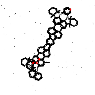 Cc1cc2c(cc1-c1ccc3c4cc5c(cc4c4ccc(-c6cc7c(cc6C)N(c6ccccc6)C6(C)CCCCC76C)c1c34)c1ccc(-c3cc4c(cc3C)N(c3ccccc3)C3(C)CCCCC43C)c3c(-c4cc6c(cc4C)N(c4ccccc4)C4(C)CCCCC64C)ccc5c31)C1(C)CCCCC1(C)N2c1ccccc1